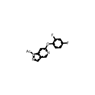 CC(=O)n1ncc2cnc(Oc3ccc(F)cc3F)cc21